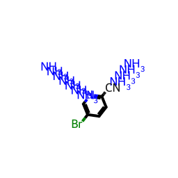 N.N.N.N.N.N.N.N.N.N.N.N#Cc1ccc(Br)cn1